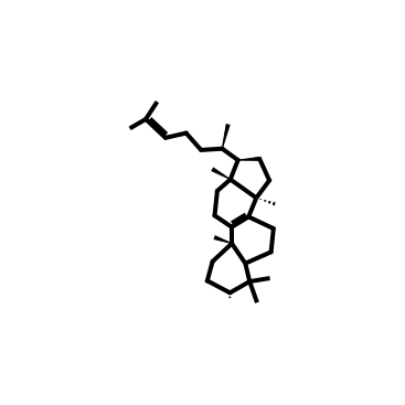 CC(C)=CCC[C@@H](C)[C@H]1CC[C@@]2(C)C3=C(CC[C@]12C)[C@@]1(C)CC[CH]C(C)(C)C1CC3